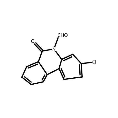 O=Cn1c(=O)c2ccccc2c2ccc(Cl)cc21